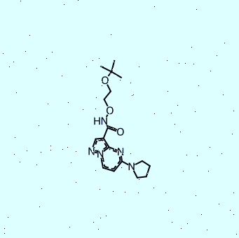 CC(C)(C)OCCONC(=O)c1cnn2ccc(N3CCCC3)nc12